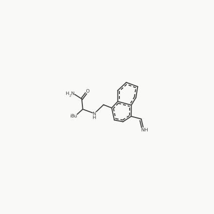 CCC(C)C(NCc1ccc(C=N)c2ccccc12)C(N)=O